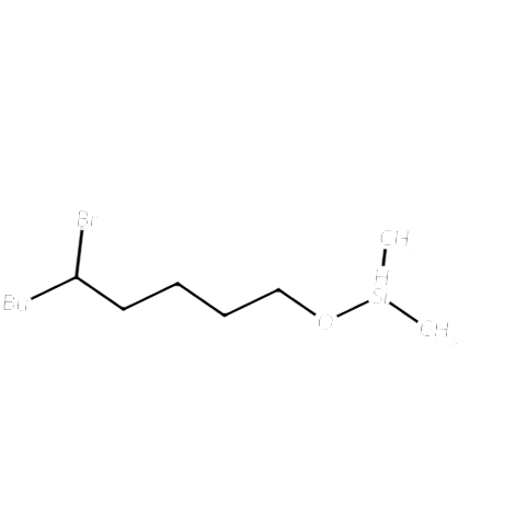 C[SiH](C)OCCCCC(Br)C(C)(C)C